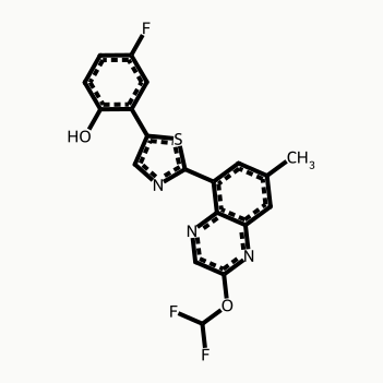 Cc1cc(-c2ncc(-c3cc(F)ccc3O)s2)c2ncc(OC(F)F)nc2c1